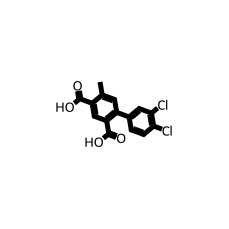 Cc1cc(-c2ccc(Cl)c(Cl)c2)c(C(=O)O)cc1C(=O)O